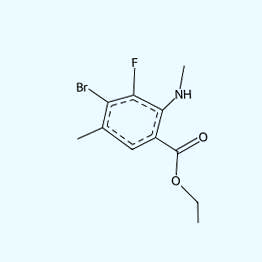 CCOC(=O)c1cc(C)c(Br)c(F)c1NC